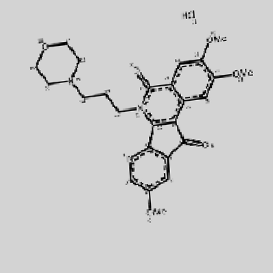 COc1cnc2c(c1)C(=O)c1c-2n(CCCN2CCOCC2)c(=O)c2cc(OC)c(OC)cc12.Cl